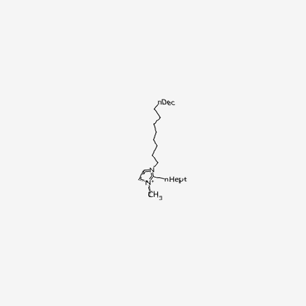 CCCCCCCCCCCCCCCCCCn1cc[n+](C)c1CCCCCCC